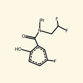 CC(C)N(CC(F)F)C(=O)c1cc(F)ccc1O